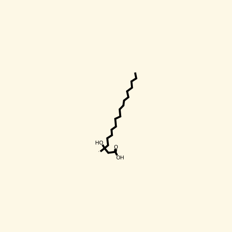 [CH2]C(O)(CCCCCCCCCCCCCCCC)CC(=O)O